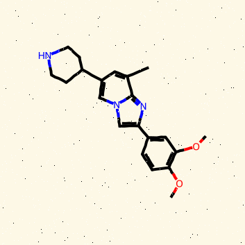 COc1ccc(-c2cn3cc(C4CCNCC4)cc(C)c3n2)cc1OC